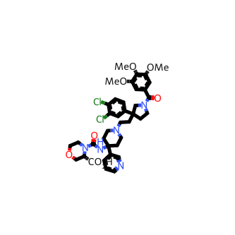 COc1cc(C(=O)N2CCC(CCN3CCC(NC(=O)N4CCOCC4C(=O)O)(c4cccnc4)CC3)(c3ccc(Cl)c(Cl)c3)C2)cc(OC)c1OC